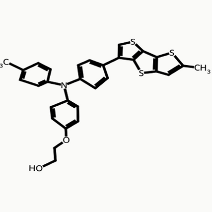 Cc1ccc(N(c2ccc(OCCO)cc2)c2ccc(-c3csc4c3sc3cc(C)sc34)cc2)cc1